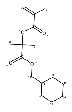 C=C(C)C(=O)OC(C)(C)C(=O)OCC1CCCCC1